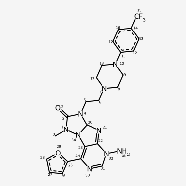 CN1C(=O)N(CCN2CCN(c3ccc(C(F)(F)F)cc3)CC2)C2N=C3C(=C(c4ccco4)N=CN3N)N21